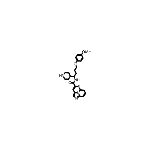 COc1ccc(OCCCC(NC(=O)C2=Cc3cnc4cccc(n34)S2)C2CCNCC2)cc1